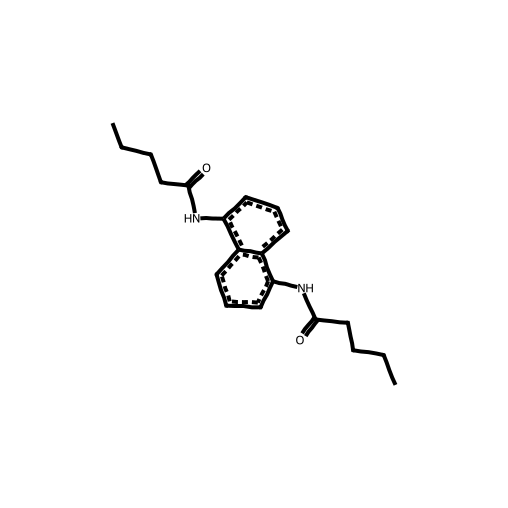 CCCCC(=O)Nc1cccc2c(NC(=O)CCCC)cccc12